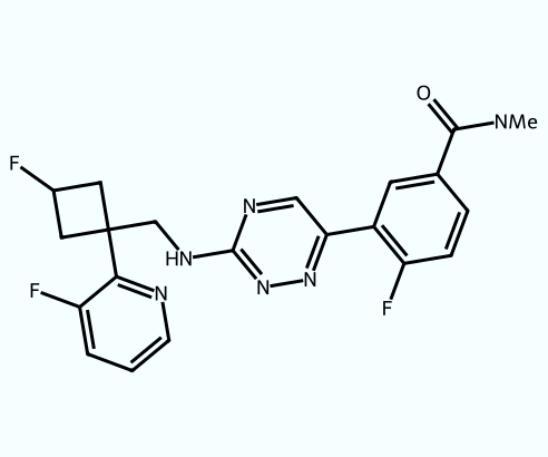 CNC(=O)c1ccc(F)c(-c2cnc(NCC3(c4ncccc4F)CC(F)C3)nn2)c1